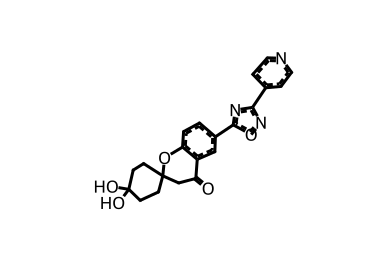 O=C1CC2(CCC(O)(O)CC2)Oc2ccc(-c3nc(-c4ccncc4)no3)cc21